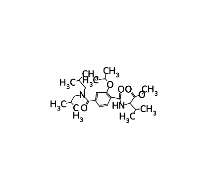 COC(=O)C(NC(=O)c1ccc(C(=O)N(CC(C)C)CC(C)C)cc1OC(C)C)C(C)C